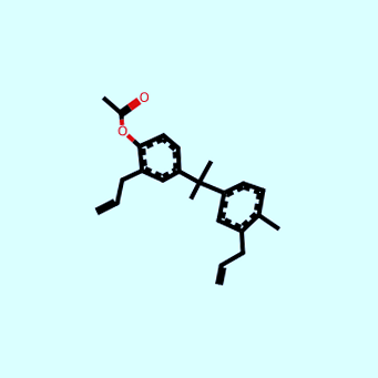 C=CCc1cc(C(C)(C)c2ccc(OC(C)=O)c(CC=C)c2)ccc1C